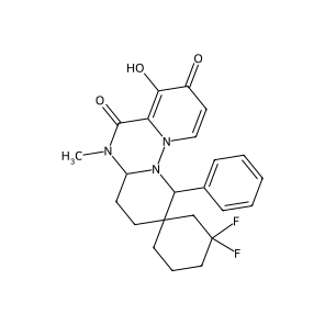 CN1C(=O)c2c(O)c(=O)ccn2N2C1CCC1(CCCC(F)(F)C1)C2c1ccccc1